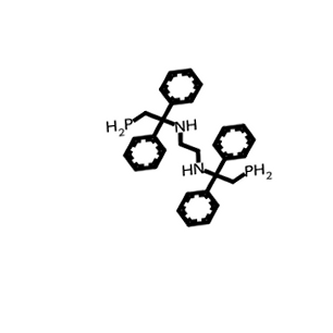 PCC(NCCNC(CP)(c1ccccc1)c1ccccc1)(c1ccccc1)c1ccccc1